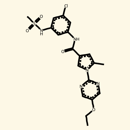 CCOc1cnc(-n2cc(C(=O)Nc3cc(Cl)cc(NS(C)(=O)=O)c3)cc2C)nc1